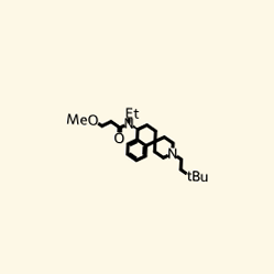 CCN(C(=O)CCOC)[C@H]1CCC2(CCN(CCC(C)(C)C)CC2)c2ccccc21